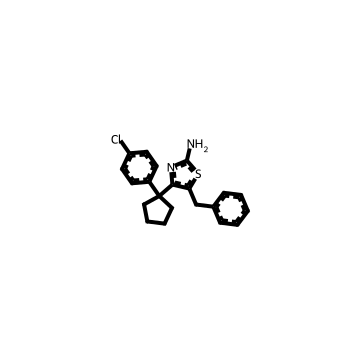 Nc1nc(C2(c3ccc(Cl)cc3)CCCC2)c(Cc2ccccc2)s1